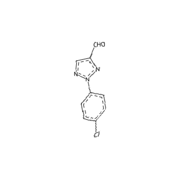 O=Cc1cnn(-c2ccc(Cl)cc2)n1